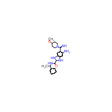 COC1CCN(C(=N)c2cc3c(cc2N)NC(C(=O)NC(C)c2ccccc2)N3)CC1